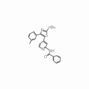 CCCCc1nc(-c2cccc(C)c2)c(-c2ccnc(NC(=O)c3ccccc3)c2)s1